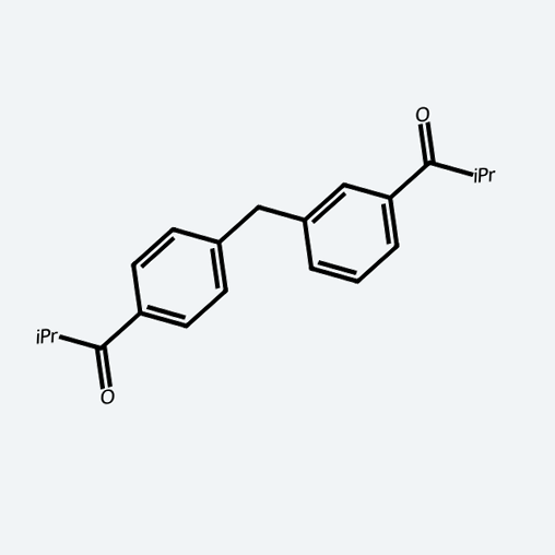 CC(C)C(=O)c1ccc(Cc2cccc(C(=O)C(C)C)c2)cc1